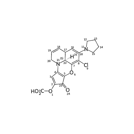 O=C(O)OC1=CC2=C(OC3=C(Cl)C(N4CCCC4)=CC4C=CCN2[C@H]34)C1=O